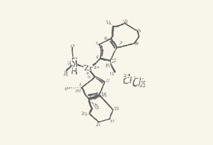 C[C@@H]1[C]([Zr+2]([C]2=CC3=C(CCCC3)[C@H]2C)[SiH](C)C)=CC2=C1CCCC2.[Cl-].[Cl-]